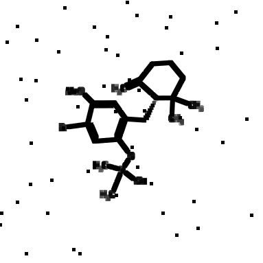 C=C1CCCC(C)(C)[C@@H]1Cc1cc(OC)c(Br)cc1O[Si](C)(C)C(C)(C)C